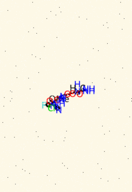 COC(=O)C1=C(COCc2cn(CCOCCOCCNC(=O)CCC3(C)NN3)nn2)NC(c2ccncc2)=NC1c1ccc(F)cc1Cl